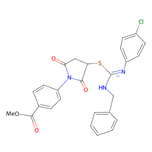 COC(=O)c1ccc(N2C(=O)CC(S/C(=N\c3ccc(Cl)cc3)NCc3ccccc3)C2=O)cc1